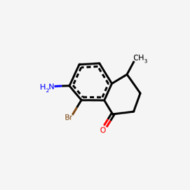 CC1CCC(=O)c2c1ccc(N)c2Br